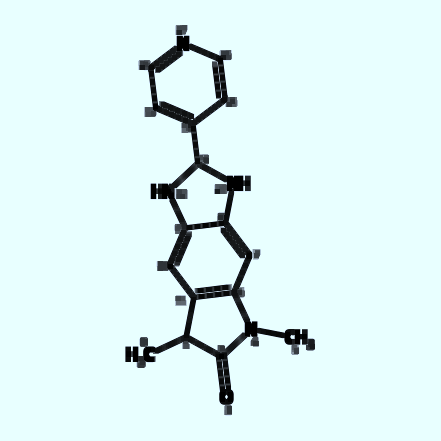 CC1C(=O)N(C)c2cc3c(cc21)NC(c1ccncc1)N3